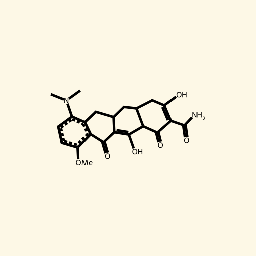 COc1ccc(N(C)C)c2c1C(=O)C1=C(O)C3C(=O)C(C(N)=O)=C(O)CC3CC1C2